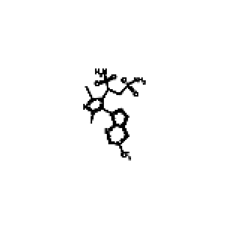 Cc1nn(C)c(-n2ccc3cc(C(F)(F)F)cnc32)c1C(CS(N)(=O)=O)S(N)(=O)=O